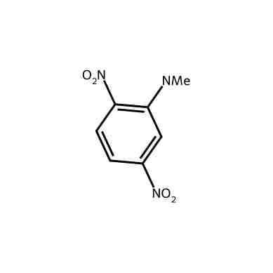 CNc1cc([N+](=O)[O-])ccc1[N+](=O)[O-]